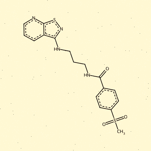 CS(=O)(=O)c1ccc(C(=O)NCCCNc2nsc3ncccc23)cc1